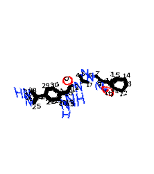 O=C(Nc1cnn(Cc2noc3ccccc23)c1)c1n[nH]c2cc(-c3cn[nH]c3)ccc12